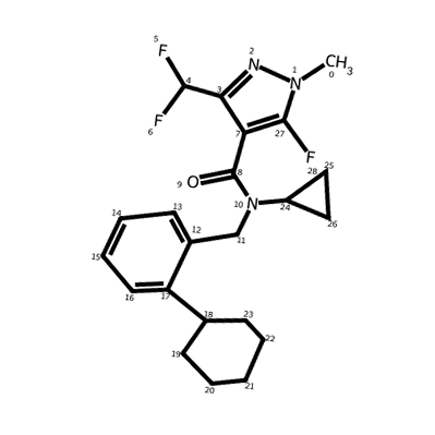 Cn1nc(C(F)F)c(C(=O)N(Cc2ccccc2C2CCCCC2)C2CC2)c1F